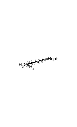 CCCCCCCCCCCCCCCCC=C(C)C